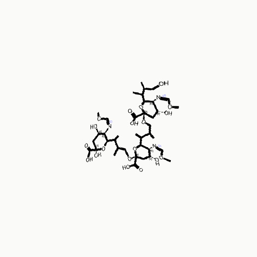 CO/C=N\[C@H]1C(C(C)C(C)CO)O[C@@](OCC(C)C(C)C2O[C@@](OCC(C)C(C)C3O[C@@](O)(C(=O)O)C[C@@H](O)[C@H]3/N=C\OC)(C(=O)O)C[C@@H](O)[C@H]2/N=C\OC)(C(=O)O)C[C@H]1O